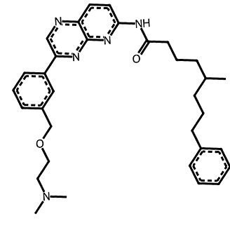 CC(CCCC(=O)Nc1ccc2ncc(-c3cccc(COCCN(C)C)c3)nc2n1)CCCc1ccccc1